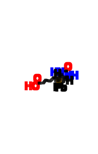 O=C(O)CCCC[C@@H]1SC[C@@H]2NC(=O)N[C@@H]21.[Pb]